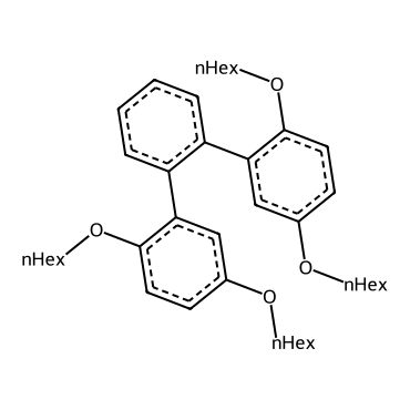 CCCCCCOc1ccc(OCCCCCC)c(-c2ccccc2-c2cc(OCCCCCC)ccc2OCCCCCC)c1